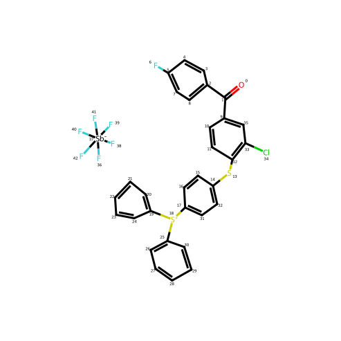 O=C(c1ccc(F)cc1)c1ccc(Sc2ccc([S+](c3ccccc3)c3ccccc3)cc2)c(Cl)c1.[F][Sb-]([F])([F])([F])([F])[F]